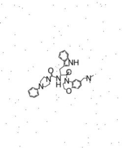 C[C@H](c1c[nH]c2ccccc12)[C@@H](NC(=O)N1CCN(c2ccccc2)CC1)C(=O)N1CCOc2ccc(CN(C)C)cc21